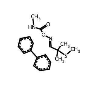 CNC(=O)O/N=C/C(C)(C)SC.c1ccc(-c2ccccc2)cc1